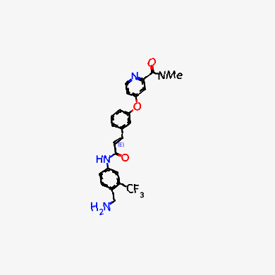 CNC(=O)c1cc(Oc2cccc(/C=C/C(=O)Nc3ccc(CN)c(C(F)(F)F)c3)c2)ccn1